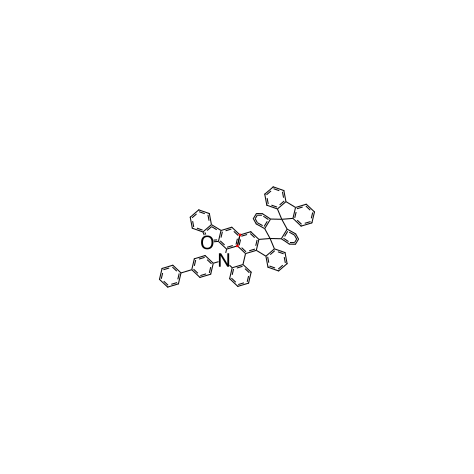 c1ccc(-c2ccc(N(c3ccccc3-c3cccc4c3-c3ccccc3C43c4ccccc4C4(c5ccccc5-c5ccccc54)c4ccccc43)c3cccc4c3oc3ccccc34)cc2)cc1